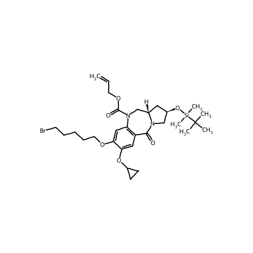 C=CCOC(=O)N1C[C@@H]2C[C@@H](O[Si](C)(C)C(C)(C)C)CN2C(=O)c2cc(OC3CC3)c(OCCCCCBr)cc21